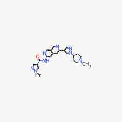 CC(C)n1cc(C(=O)Nc2cc3cc(-c4cnn(C5CCN(C)CC5)c4)ncc3cn2)cn1